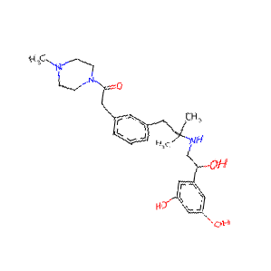 CN1CCN(C(=O)Cc2cccc(CC(C)(C)NCC(O)c3cc(O)cc(O)c3)c2)CC1